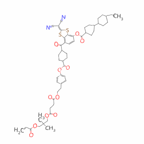 C=CC(=O)OCC(C)(C)COC(=O)CCC(=O)OCCc1ccc(OC(=O)C2CCC(C(=O)c3ccc(OC(=O)C4CCC(C5CCC(CC)CC5)CC4)c4c3SC(=C(C#N)C#N)S4)CC2)cc1